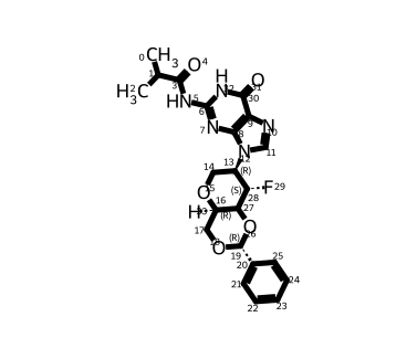 CC(C)C(=O)Nc1nc2c(ncn2[C@@H]2CO[C@@H]3CO[C@@H](c4ccccc4)OC3[C@H]2F)c(=O)[nH]1